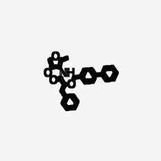 CC1OCC(=O)C1NC(=O)C(Cc1ccccc1)OCc1ccc(-c2ccccc2)cc1